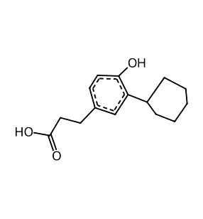 O=C(O)CCc1ccc(O)c(C2CCCCC2)c1